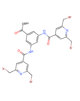 COC(=O)c1cc(NC(=O)c2cc(CBr)nc(CBr)c2)cc(NC(=O)c2cc(CBr)nc(CBr)c2)c1